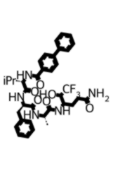 CC(C)[C@H](NC(=O)c1ccc(-c2ccccc2)cc1)C(=O)N[C@H](Cc1ccccc1)C(=O)N[C@@H](C)C(=O)NC(CCC(N)=O)C(O)C(F)(F)F